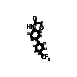 O=C1COc2cc(-c3ccc(C(F)(F)F)cc3)ccc2N1